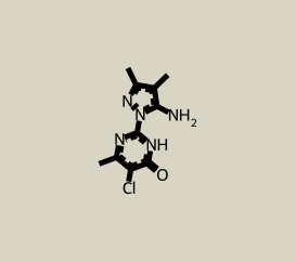 Cc1nn(-c2nc(C)c(Cl)c(=O)[nH]2)c(N)c1C